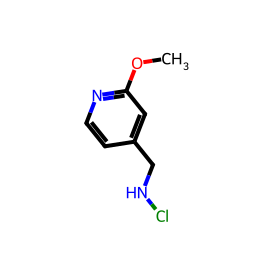 COc1cc(CNCl)ccn1